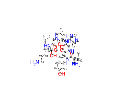 CC(C)C[C@H](NC(=O)[C@H](CC(C)C)NC(=O)[C@H](Cc1c[nH]cn1)NC(=O)[C@H](Cc1ccc(O)cc1)NC(=O)[C@@H](N)C(C)C)C(=O)N[C@@H](CCCCN)C(=O)O